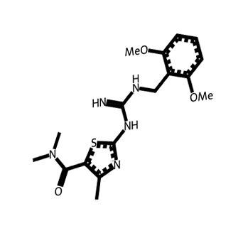 COc1cccc(OC)c1CNC(=N)Nc1nc(C)c(C(=O)N(C)C)s1